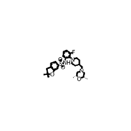 C[C@@H]1CN(CC2CCN(c3c(F)cccc3NS(=O)(=O)c3ccc4c(c3)OC(C)(C)C4)CC2)C[C@H](C)O1